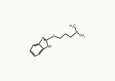 CN(C)CCCSc1nc2ccccc2[nH]1